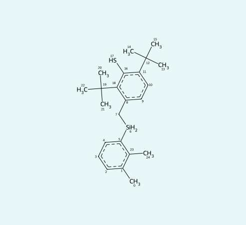 Cc1cccc([SiH2]Cc2ccc(C(C)(C)C)c(S)c2C(C)(C)C)c1C